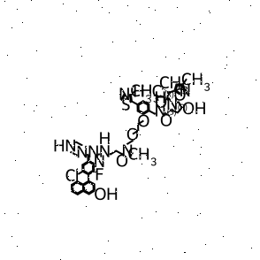 Cc1cc([C@H](C(=O)N2C[C@H](O)C[C@H]2C(=O)NCc2ccc(-c3scnc3C)cc2OCCOCCN(C)C(=O)CCNc2nc(N3CCNCC3)c3cc(Cl)c(-c4cc(O)cc5ccccc45)c(F)c3n2)C(C)C)on1